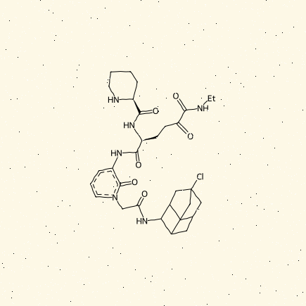 CCNC(=O)C(=O)CC[C@H](NC(=O)[C@@H]1CCCCN1)C(=O)Nc1cccn(CC(=O)NC2C3CC4CC2CC(Cl)(C4)C3)c1=O